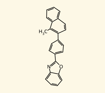 Cc1c(-c2ccc(-c3nc4ccccc4o3)cc2)ccc2ccccc12